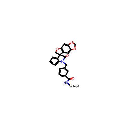 CCCCCCCNC(=O)c1cccc(CN2C(=O)C3(COc4cc5c(cc43)OCO5)c3ccccc32)c1